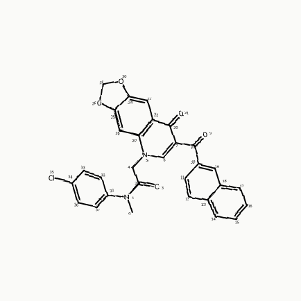 CN(C(=O)Cn1cc(C(=O)c2ccc3ccccc3c2)c(=O)c2cc3c(cc21)OCO3)c1ccc(Cl)cc1